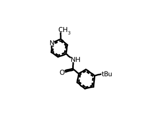 Cc1cc(NC(=O)c2cccc(C(C)(C)C)c2)ccn1